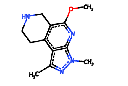 COc1nc2c(c(C)nn2C)c2c1CNCC2